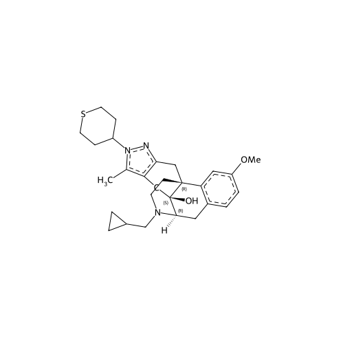 COc1ccc2c(c1)[C@]13CCN(CC4CC4)[C@H](C2)[C@]1(O)Cc1c(nn(C2CCSCC2)c1C)C3